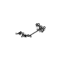 CN[C@@H](C)C(=O)N[C@H](C(=O)N1C[C@@H](NC(=O)CCCCCCCCCCC(=O)N2CCN(c3nnc(-c4cnc(-c5ccc6cc(C#N)cnn56)cc4NC(C)C)s3)CC2)C[C@H]1C(=O)N[C@@H]1CCCc2ccccc21)C1CCCCC1